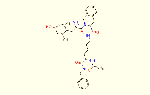 CC(=O)NC(CCCCNC(=O)C1Cc2ccccc2CN1C(=O)C(N)Cc1c(C)cc(O)cc1C)C(=O)NCc1ccccc1